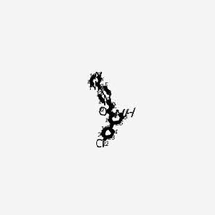 O=C(CN1CCN(c2cnccn2)CC1)C1CC(c2ccc(Cl)cc2)=CCN1